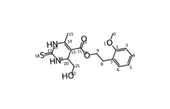 COc1ccccc1CCOC(=O)C1=C(C)NC(=S)NC1CO